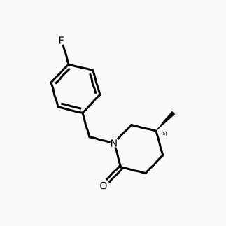 C[C@H]1CCC(=O)N(Cc2ccc(F)cc2)C1